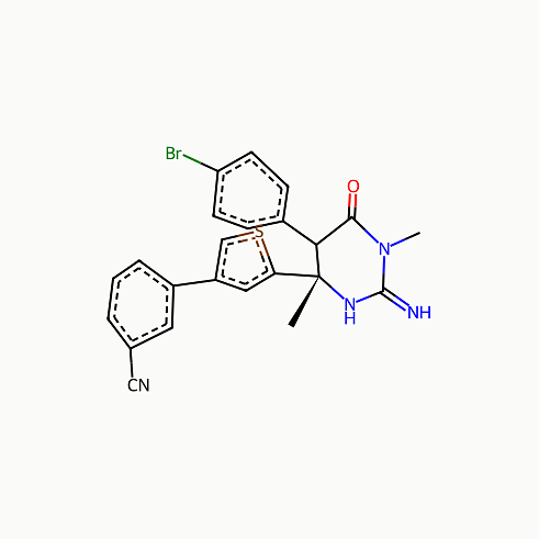 CN1C(=N)N[C@](C)(c2cc(-c3cccc(C#N)c3)cs2)C(c2ccc(Br)cc2)C1=O